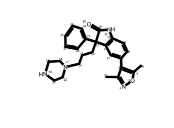 Cc1noc(C)c1-c1ccc2c(c1)C(CCCN1CCNCC1)(c1ccccc1)C(=O)N2